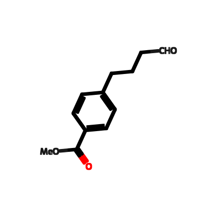 COC(=O)c1ccc(CCCC=O)cc1